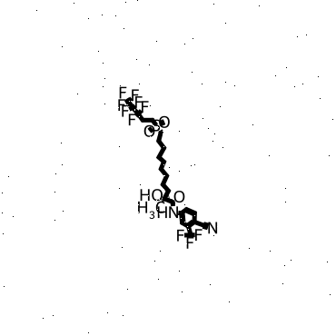 C[C@](O)(CCCCCCCCCS(=O)(=O)CCC(F)(F)C(F)(F)C(F)(F)F)C(=O)Nc1ccc(C#N)c(C(F)(F)F)c1